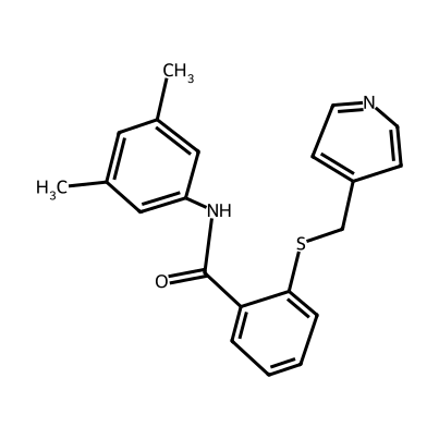 Cc1cc(C)cc(NC(=O)c2ccccc2SCc2ccncc2)c1